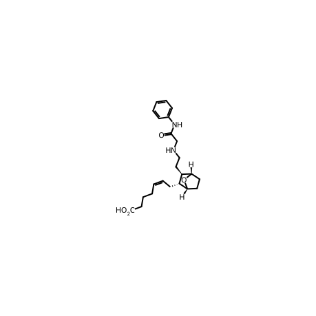 O=C(O)CCC/C=C\C[C@@H]1[C@@H](CCNCC(=O)Nc2ccccc2)[C@@H]2CC[C@H]1O2